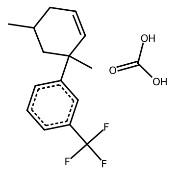 CC1CC=CC(C)(c2cccc(C(F)(F)F)c2)C1.O=C(O)O